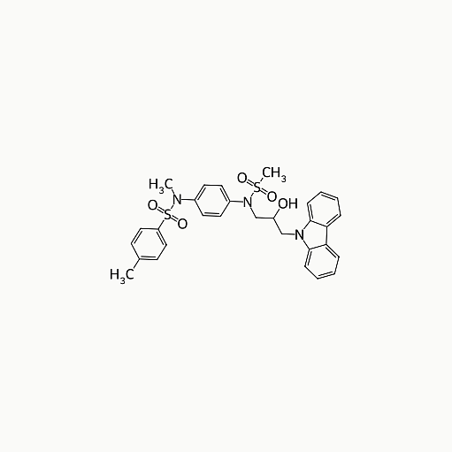 Cc1ccc(S(=O)(=O)N(C)c2ccc(N(CC(O)Cn3c4ccccc4c4ccccc43)S(C)(=O)=O)cc2)cc1